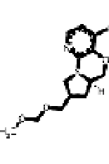 COCOCC1C[C@@H]2COc3c(I)ccnc3N2C1